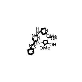 COc1cc(Nc2ncc(-c3nc4ccccc4s3)c(N[C@@H]3C[C@H](CO)[C@@H](O)[C@H]3OC)n2)ccn1